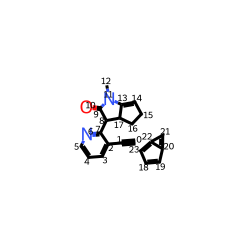 C#Cc1cccnc1C1C(=O)N(C)C2=CCCC21.c1cc2cc-2c1